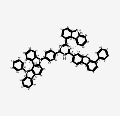 c1ccc(-c2cccc3c2oc2cc(C4=NC(c5cccc6sc7ccccc7c56)=NC(c5ccc(-n6c7ccccc7c7c6ccc6c8ccccc8n(-c8ccccc8)c67)cc5)N4)ccc23)cc1